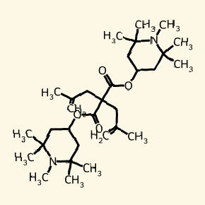 C=C(C)CC(CC(=C)C)(C(=O)OC1CC(C)(C)N(C)C(C)(C)C1)C(=O)OC1CC(C)(C)N(C)C(C)(C)C1